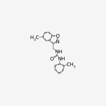 Cc1ccc2onc(CNC(=O)Nc3ccccc3C)c2c1